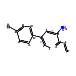 C=CC(=C)/C(N)=C\C(=C/C)c1ccc(CC)cc1